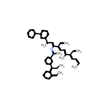 C=CC(=C\C=C(C)\C(C=C)=C\C=C/C)/C(=C/C(=C)c1cccc(-c2ccccc2)c1)/N=C(\C)c1cccc(/C(CC)=c2\cccc\c2=C\C)c1